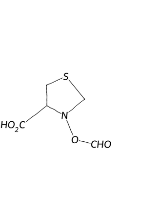 O=CON1CSCC1C(=O)O